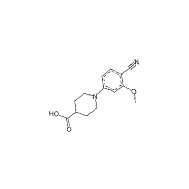 COc1cc(N2CCC(C(=O)O)CC2)ccc1C#N